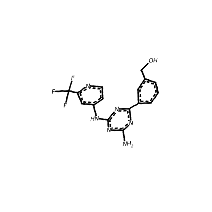 Nc1nc(Nc2ccnc(C(F)(F)F)c2)nc(-c2cccc(CO)c2)n1